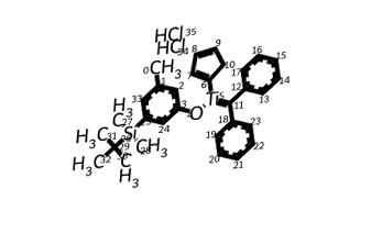 Cc1cc([O][Ti]([C]2=CC=CC2)=[C](c2ccccc2)c2ccccc2)cc([Si](C)(C)C(C)(C)C)c1.Cl.Cl